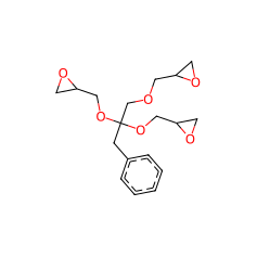 c1ccc(CC(COCC2CO2)(OCC2CO2)OCC2CO2)cc1